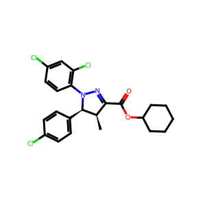 C[C@@H]1C(C(=O)OC2CCCCC2)=NN(c2ccc(Cl)cc2Cl)[C@@H]1c1ccc(Cl)cc1